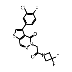 O=C(Cn1ncc2scc(-c3ccc(F)c(Cl)c3)c2c1=O)N1CC(F)(F)C1